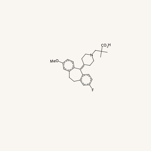 COc1ccc2c(c1)CCc1cc(F)ccc1C2=C1CCN(CC(C)(C)C(=O)O)CC1